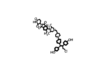 CC1CN(CC2CCN(c3ccc(C(=C(CCCl)c4ccc(O)cc4)c4ccc(O)cc4)cc3)CC2)CC(C)N1c1cc2c(cc1F)C(=O)N(C1CCC(=O)NC1=O)C2=O